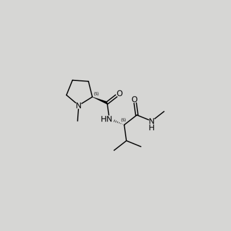 CNC(=O)[C@@H](NC(=O)[C@@H]1CCCN1C)C(C)C